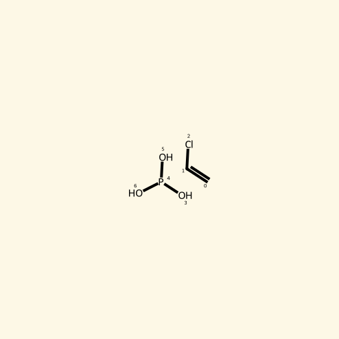 C=CCl.OP(O)O